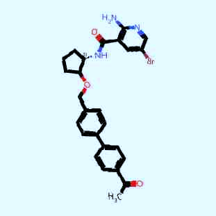 CC(=O)c1ccc(-c2ccc(COC3CCC[C@@H]3NC(=O)c3cc(Br)cnc3N)cc2)cc1